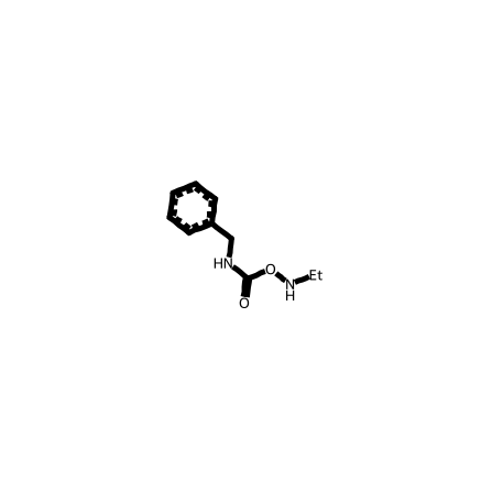 CCNOC(=O)NCc1ccccc1